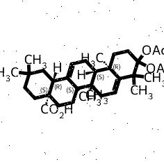 CC(=O)OC1(OC(C)=O)CC[C@@]2(C)C(=CC[C@]3(C)[C@@H]2CC=C2[C@H]4CC(C)(C)CC[C@]4(C(=O)O)CC[C@]23C)C1(C)C